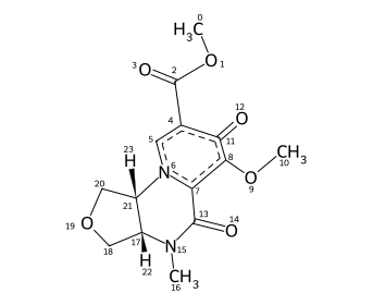 COC(=O)c1cn2c(c(OC)c1=O)C(=O)N(C)[C@@H]1COC[C@@H]12